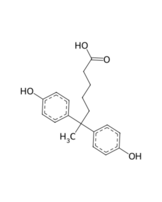 CC(CCCCC(=O)O)(c1ccc(O)cc1)c1ccc(O)cc1